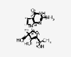 C#CC1(F)C(O)=C([C@@H](C)O)O[C@H]1n1ccc2c(=O)[nH]c(N)nc21